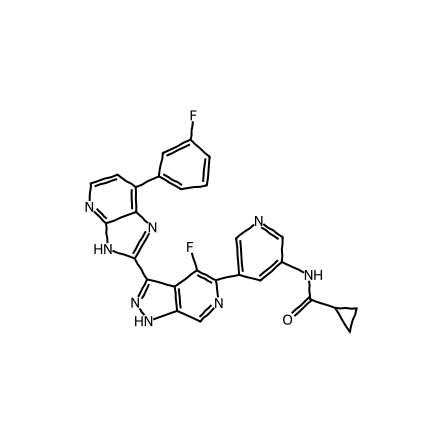 O=C(Nc1cncc(-c2ncc3[nH]nc(-c4nc5c(-c6cccc(F)c6)ccnc5[nH]4)c3c2F)c1)C1CC1